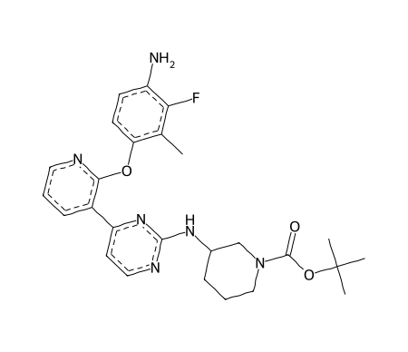 Cc1c(Oc2ncccc2-c2ccnc(NC3CCCN(C(=O)OC(C)(C)C)C3)n2)ccc(N)c1F